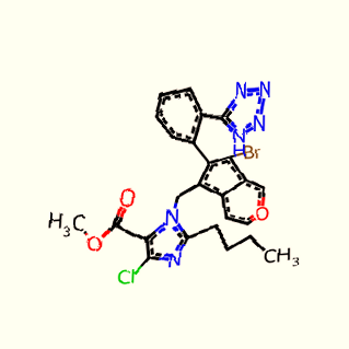 CCCCc1nc(Cl)c(C(=O)OC)n1Cc1c2ccocc-2c(Br)c1-c1ccccc1-c1nnn[nH]1